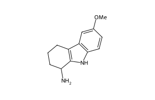 COc1ccc2[nH]c3c(c2c1)CCCC3N